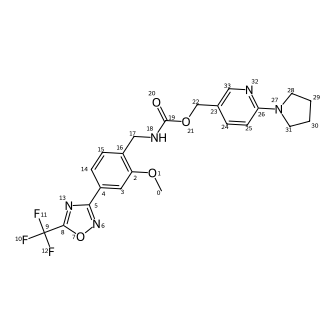 COc1cc(-c2noc(C(F)(F)F)n2)ccc1CNC(=O)OCc1ccc(N2CCCC2)nc1